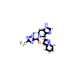 Cn1nc(C(F)(F)F)nc1C(=O)N1CCc2[nH]cnc2[C@@H]1c1cc2ccccn2n1